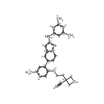 Cc1cc(-c2ccn3nc(Nc4cc(C)nc(C)n4)cc3c2)c(OCCC2(C#N)COC2)cn1